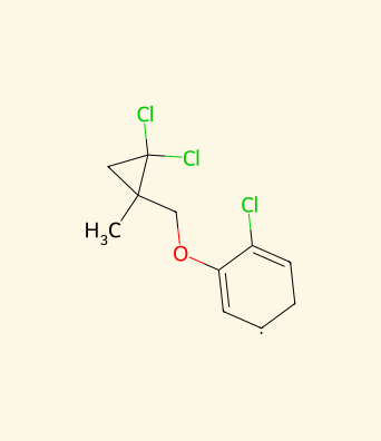 CC1(COC2=C[CH]CC=C2Cl)CC1(Cl)Cl